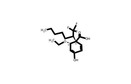 CCCCCC(C(F)(F)F)[C@@]1(C(=O)O)C=CC(O)=C[C@@H]1OCC